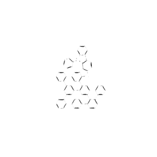 c1ccc(-c2cc(-c3ccccc3)cc(-c3cc(-c4c(-c5ccccc5)cccc4-c4ccccc4)ccc3-c3cccc4c3sc3ccc5c6ccccc6n(-c6ccccc6)c5c34)c2)cc1